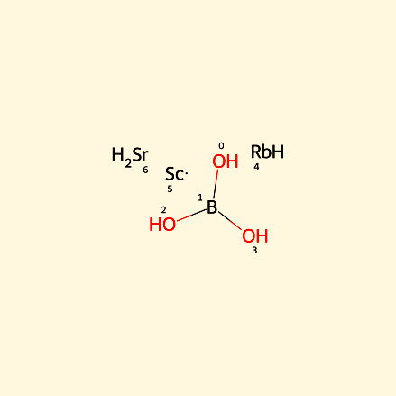 OB(O)O.[RbH].[Sc].[SrH2]